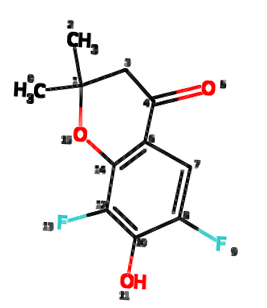 CC1(C)CC(=O)c2cc(F)c(O)c(F)c2O1